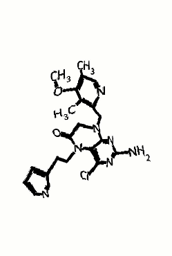 COc1c(C)cnc(CN2CC(=O)N(CCc3cccnc3)c3c(Cl)nc(N)nc32)c1C